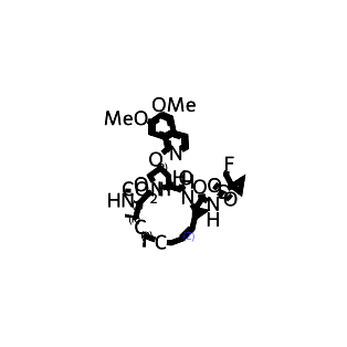 COc1cc2ccnc(O[C@@H]3C[C@H]4C(=O)NC5(C(=O)NS(=O)(=O)C6(CF)CC6)CC5/C=C\CC[C@@H](C)C[C@@H](C)[C@H](NC(=O)O)C(=O)N4C3)c2cc1OC